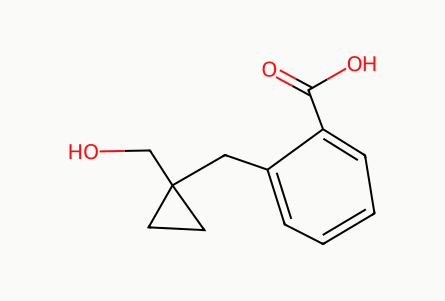 O=C(O)c1ccccc1CC1(CO)CC1